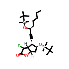 CCCCC[C@@H](C#C[C@H]1[C@H]2C(F)C(=O)O[C@H]2C[C@H]1O[Si](C)(C)C(C)(C)C)O[Si](C)(C)C(C)(C)C